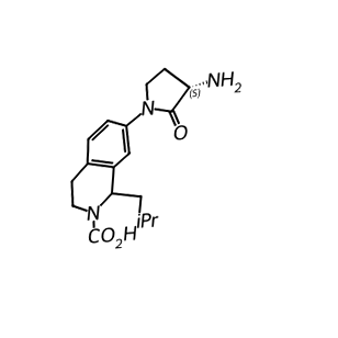 CC(C)CC1c2cc(N3CC[C@H](N)C3=O)ccc2CCN1C(=O)O